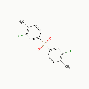 Cc1ccc(S(=O)(=O)c2ccc(C)c(F)c2)cc1F